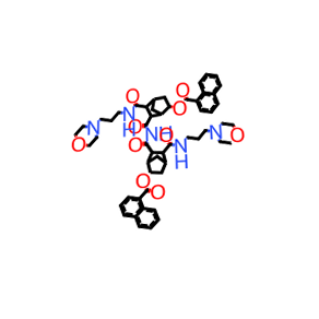 O=C(OC1CC2CC1C(C(=O)NC(=O)C1C3CC(CC3OC(=O)c3cccc4ccccc34)C1C(=O)NCCCN1CCOCC1)C2C(=O)NCCCN1CCOCC1)c1cccc2ccccc12